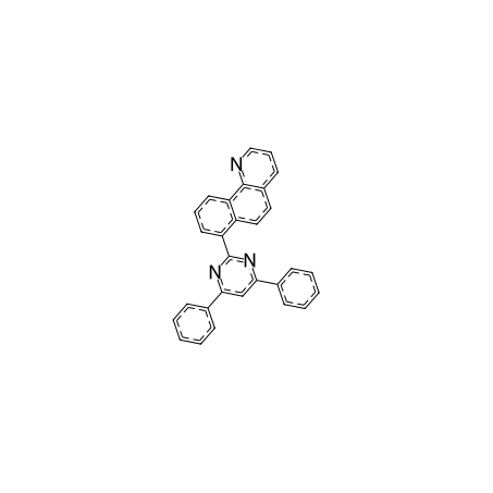 c1ccc(-c2cc(-c3ccccc3)nc(-c3cccc4c3ccc3cccnc34)n2)cc1